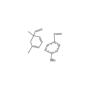 C=CC1(C)C=CC=C(C)C1.C=Cc1ccc(C(C)(C)C)cc1